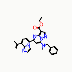 C=C(C)c1ccc(-c2cc(N(C)Cc3ccccc3)n3ncc(C(=O)OCC)c3n2)n2ccnc12